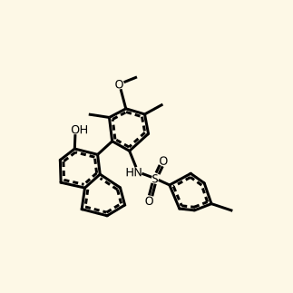 COc1c(C)cc(NS(=O)(=O)c2ccc(C)cc2)c(-c2c(O)ccc3ccccc23)c1C